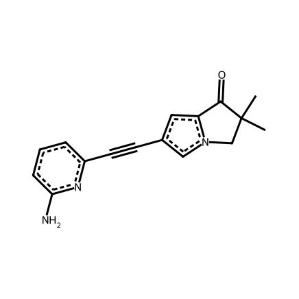 CC1(C)Cn2cc(C#Cc3cccc(N)n3)cc2C1=O